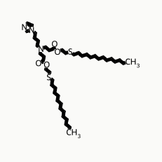 CCCCCCCCCCCCCCSCCOC(=O)CCN(CCCCn1ccnc1)CCC(=O)OCCSCCCCCCCCCCCCCC